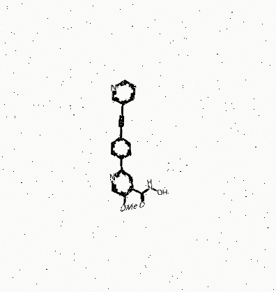 COc1cnc(-c2ccc(C#Cc3cccnc3)cc2)cc1C(=O)NO